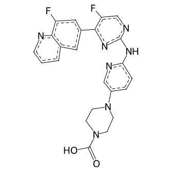 O=C(O)N1CCN(c2ccc(Nc3ncc(F)c(-c4cc(F)c5ncccc5c4)n3)nc2)CC1